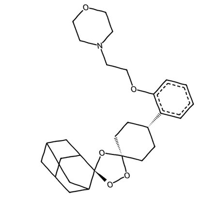 c1ccc([C@H]2CC[C@]3(CC2)OO[C@]2(O3)C3CC4CC(C3)CC2C4)c(OCCN2CCOCC2)c1